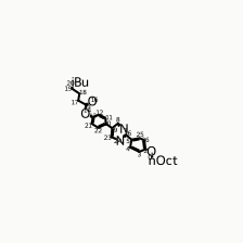 CCCCCCCCOc1ccc(-c2ncc(-c3ccc(OC(=O)CCCC(C)CC)cc3)cn2)cc1